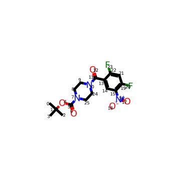 CC(C)(C)OC(=O)N1CCN(C(=O)c2cc([N+](=O)[O-])c(F)cc2F)CC1